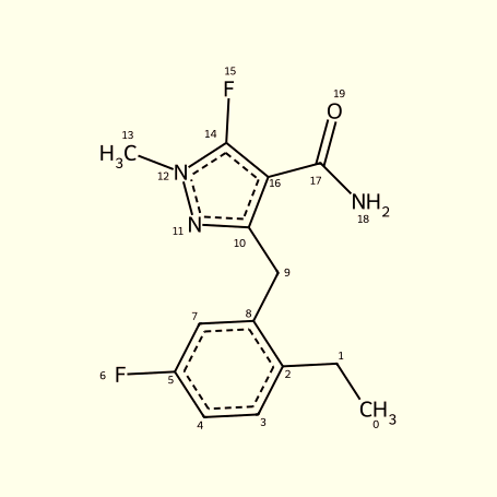 CCc1ccc(F)cc1Cc1nn(C)c(F)c1C(N)=O